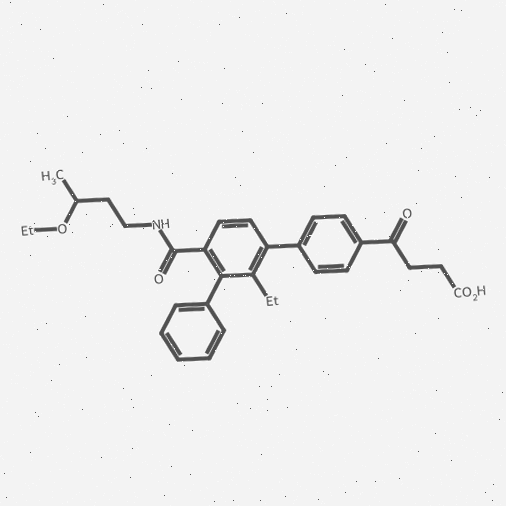 CCOC(C)CCNC(=O)c1ccc(-c2ccc(C(=O)CCC(=O)O)cc2)c(CC)c1-c1ccccc1